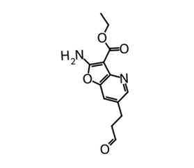 CCOC(=O)c1c(N)oc2cc(CCC=O)cnc12